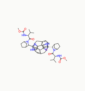 COC(=O)N[C@H](C(=O)N1C2CCC(C2)C1c1nc(-c2cc3ccc2CCc2ccc(c(-c4c[nH]c([C@@H]5C6CCC(C6)N5C(=O)[C@@H](NC(=O)OC)C(C)C)n4)c2)CC3)c[nH]1)C(C)C